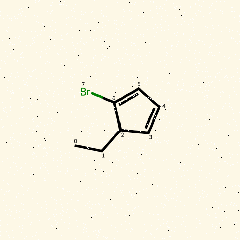 CCC1C=CC=C1Br